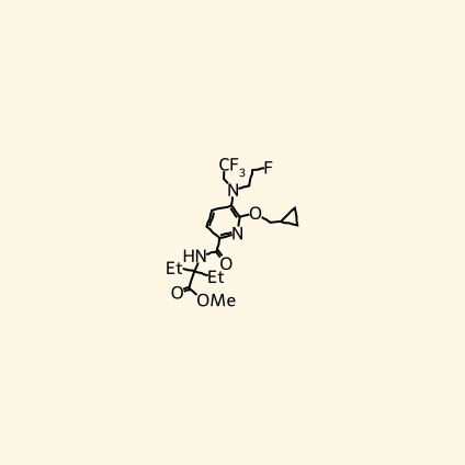 CCC(CC)(NC(=O)c1ccc(N(CCF)CC(F)(F)F)c(OCC2CC2)n1)C(=O)OC